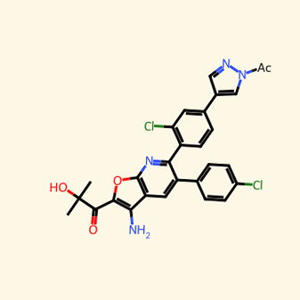 CC(=O)n1cc(-c2ccc(-c3nc4oc(C(=O)C(C)(C)O)c(N)c4cc3-c3ccc(Cl)cc3)c(Cl)c2)cn1